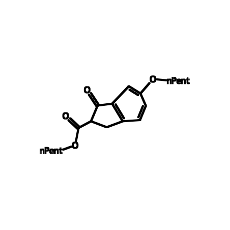 CCCCCOC(=O)C1Cc2ccc(OCCCCC)cc2C1=O